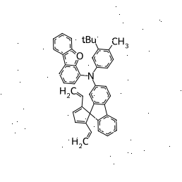 C=CC1=CC=C(C=C)C12c1ccccc1-c1ccc(N(c3ccc(C)c(C(C)(C)C)c3)c3cccc4c3oc3ccccc34)cc12